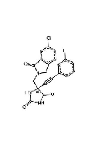 O=C1NC(=O)[C@@](C#Cc2cccc(F)c2)(CN2Cc3ccc(Cl)cc3C2=O)N1